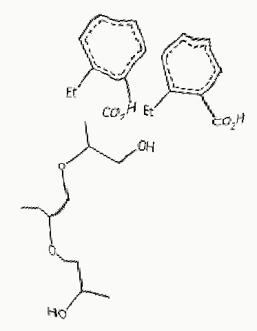 CC(O)COC(C)COC(C)CO.CCc1ccccc1C(=O)O.CCc1ccccc1C(=O)O